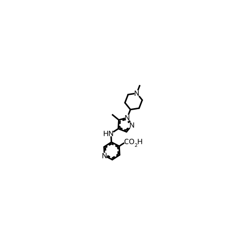 Cc1c(Nc2cnccc2C(=O)O)cnn1C1CCN(C)CC1